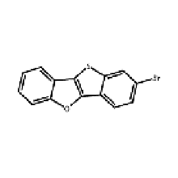 Brc1ccc2c(c1)sc1c3ccccc3oc21